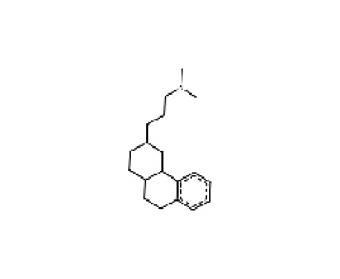 CN(C)CCCC1CCC2CCc3ccccc3C2C1